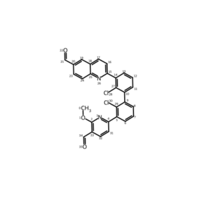 COc1nc(-c2cccc(-c3cccc(-c4ccc5cc(C=O)ccc5n4)c3Cl)c2Cl)ccc1C=O